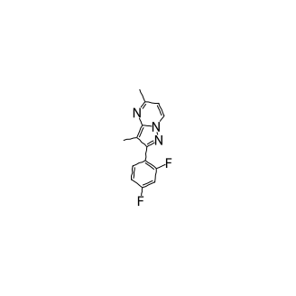 Cc1ccn2nc(-c3ccc(F)cc3F)c(C)c2n1